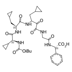 CC(C)COC(=O)N[C@H](C(=O)N[C@@H](CC1CC1)C(=O)NC(CC1CC1)C(=O)C(=O)NCC(=O)N[C@H](C(=O)O)c1ccccc1)C1CC1